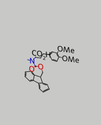 COc1ccc(CC[C@@H](C(=O)O)N(C)C(=O)OCC2c3ccccc3-c3ccccc32)cc1OC